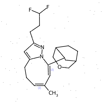 CC1=C/CCc2cc(CCC(F)F)nn2/C(C2CC3CCC2COC3)=C\1